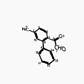 N#Cc1ccc(C(=O)C=O)c(-c2ccccc2)c1